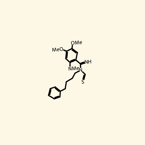 CNc1cc(OC)c(OC)cc1C(=N)N(C=S)CCCCc1ccccc1